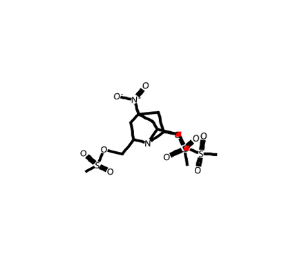 CS(=O)(=O)OCC1CC2([N+](=O)[O-])CC(COS(C)(=O)=O)N1C(OS(C)(=O)=O)C2